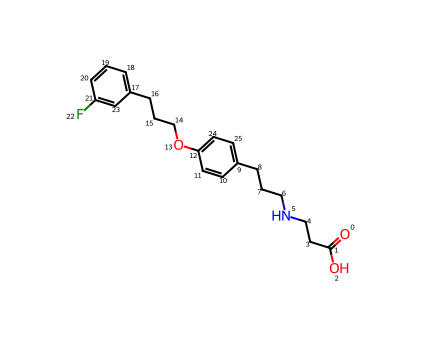 O=C(O)CCNCCCc1ccc(OCCCc2cccc(F)c2)cc1